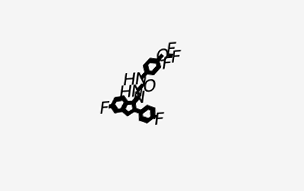 O=C(NN=C1c2ccc(F)cc2CC1c1ccc(F)cc1)Nc1ccc(OC(F)(F)F)cc1